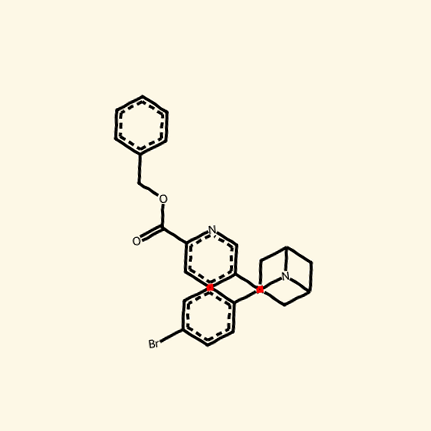 O=C(OCc1ccccc1)c1ccc(CN2C3CC2CN(c2ccc(Br)cc2)C3)cn1